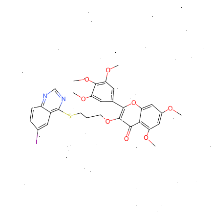 COc1cc(OC)c2c(=O)c(OCCCSc3ncnc4ccc(I)cc34)c(-c3cc(OC)c(OC)c(OC)c3)oc2c1